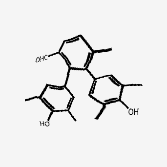 Cc1cc(-c2c(C)ccc(C=O)c2-c2cc(C)c(O)c(C)c2)cc(C)c1O